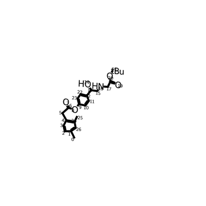 Cc1ccc(CC(=O)Oc2ccc(C(O)CNCC(=O)OC(C)(C)C)cc2)c(C)c1